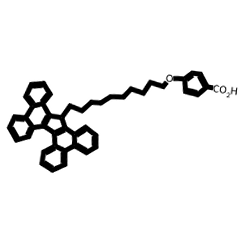 O=C(O)c1ccc(OCCCCCCCCCCC2c3c(c4ccccc4c4ccccc34)-c3c2c2ccccc2c2ccccc32)cc1